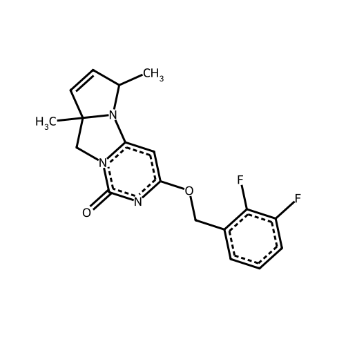 CC1C=CC2(C)Cn3c(cc(OCc4cccc(F)c4F)nc3=O)N12